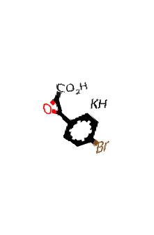 O=C(O)C1OC1c1ccc(Br)cc1.[KH]